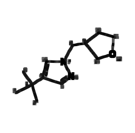 CC(C)(C)c1cnn(CC2CCOC2)c1